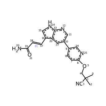 CC(C)(C#N)COc1ccc(-c2cnc3[nH]cc(/C=C/C(N)=O)c3c2)cn1